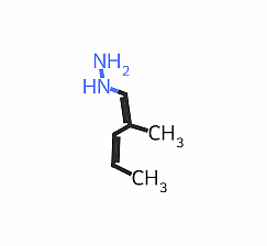 C/C=C\C(C)=C/NN